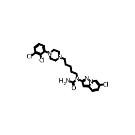 NC(=O)N(CCCCCN1CCN(c2cccc(Cl)c2Cl)CC1)c1cc2ccc(Cl)cn2n1